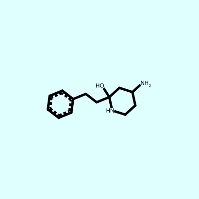 NC1CCNC(O)(CCc2ccccc2)C1